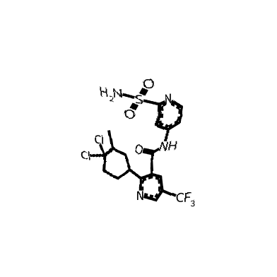 CC1CC(c2ncc(C(F)(F)F)cc2C(=O)Nc2ccnc(S(N)(=O)=O)c2)CCC1(Cl)Cl